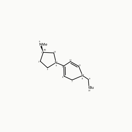 CN[C@@H]1CCN(C2=CCN(CC(C)(C)C)C=C2)C1